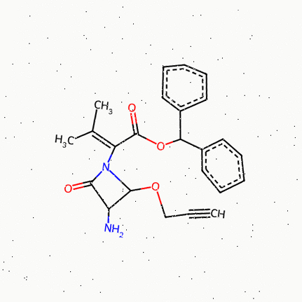 C#CCOC1C(N)C(=O)N1C(C(=O)OC(c1ccccc1)c1ccccc1)=C(C)C